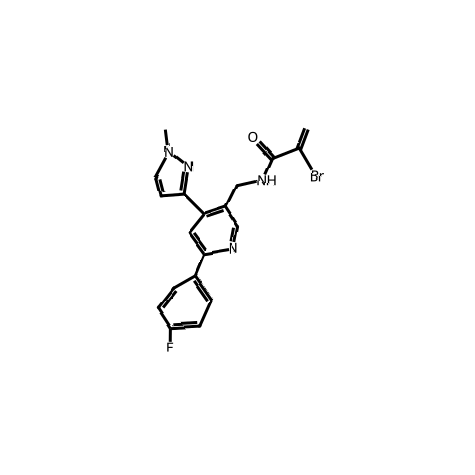 C=C(Br)C(=O)NCc1cnc(-c2ccc(F)cc2)cc1-c1ccn(C)n1